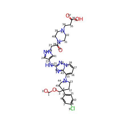 O=COCC1(c2ccc(Cl)cc2)CCN(c2cccn3nc(Nc4cnn(CC(=O)N5CCN(CCC(=O)O)CC5)c4)nc23)CC1